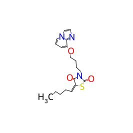 CCCC/C=C1/SC(=O)N(CCCCOc2cccn3ccnc23)C1=O